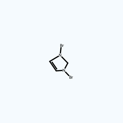 BrN1C=CN(Br)C1